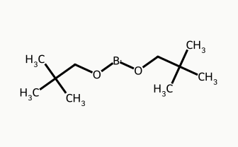 CC(C)(C)CO[B]OCC(C)(C)C